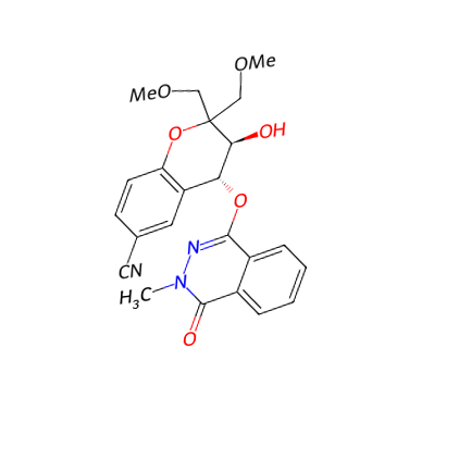 COCC1(COC)Oc2ccc(C#N)cc2[C@@H](Oc2nn(C)c(=O)c3ccccc23)[C@@H]1O